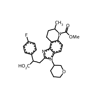 COC(=O)N1c2ccc3c(nc(CC(C(=O)O)c4ccc(F)cc4)n3C3CCCOC3)c2CCC1C